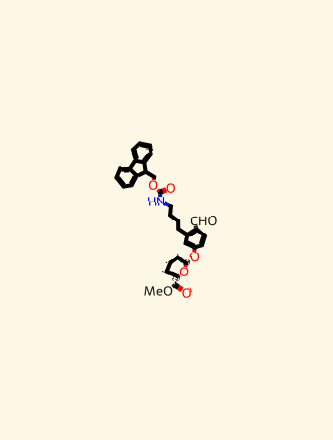 COC(=O)[C@@H]1[CH][CH][CH][C@H](Oc2ccc(C=O)c(CCCCNC(=O)OCC3c4ccccc4-c4ccccc43)c2)O1